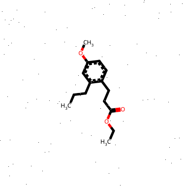 CCCc1cc(OC)ccc1CCC(=O)OCC